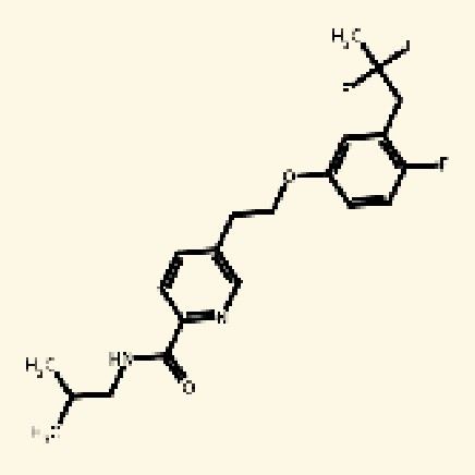 CC(C)CNC(=O)c1ccc(CCOc2ccc(F)c(CC(C)(F)F)c2)cn1